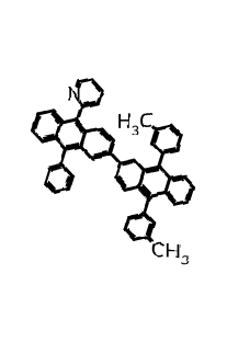 Cc1cccc(-c2c3ccccc3c(-c3cccc(C)c3)c3cc(-c4ccc5c(-c6ccccn6)c6ccccc6c(-c6ccccc6)c5c4)ccc23)c1